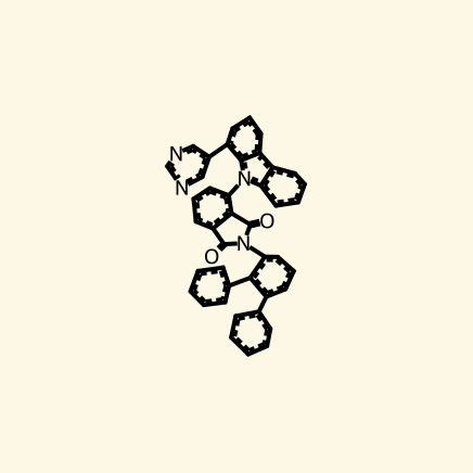 O=C1c2cccc(-n3c4ccccc4c4cccc(-c5cncnc5)c43)c2C(=O)N1c1cccc(-c2ccccc2)c1-c1ccccc1